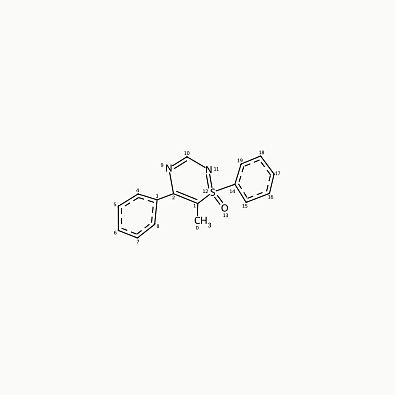 CC1=C(c2ccccc2)N=CN=S1(=O)c1ccccc1